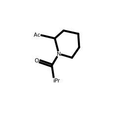 CC(=O)C1CCCCN1C(=O)C(C)C